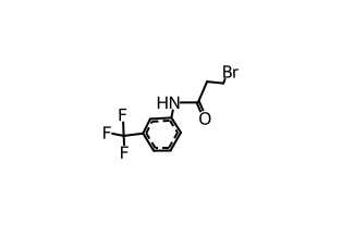 O=C(CCBr)Nc1cccc(C(F)(F)F)c1